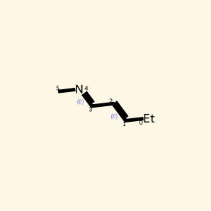 CC/C=C/C=N/C